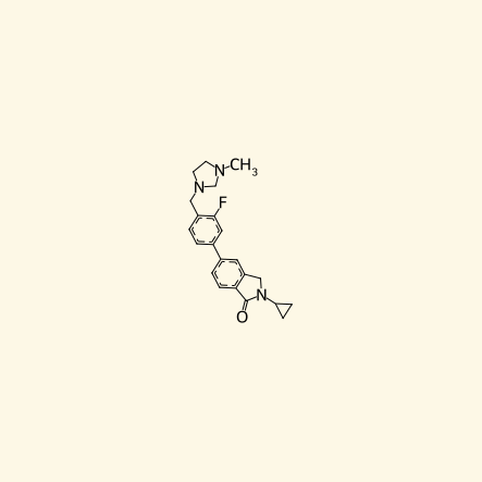 CN1CCN(Cc2ccc(-c3ccc4c(c3)CN(C3CC3)C4=O)cc2F)C1